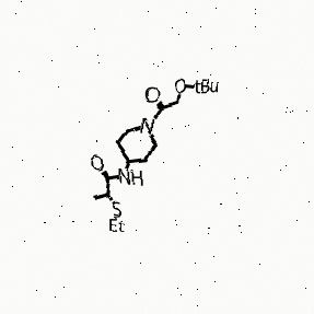 CCSC(C)C(=O)NC1CCN(C(=O)COC(C)(C)C)CC1